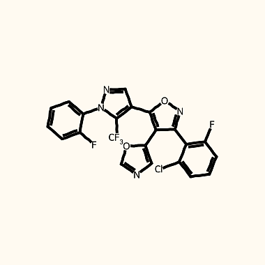 Fc1ccccc1-n1ncc(-c2onc(-c3c(F)cccc3Cl)c2-c2cnco2)c1C(F)(F)F